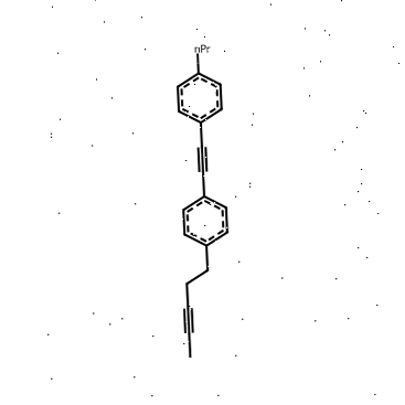 CC#CCCc1ccc(C#Cc2ccc(CCC)cc2)cc1